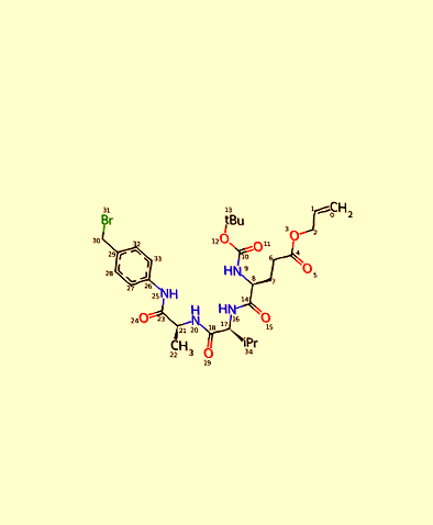 C=CCOC(=O)CC[C@H](NC(=O)OC(C)(C)C)C(=O)N[C@H](C(=O)N[C@@H](C)C(=O)Nc1ccc(CBr)cc1)C(C)C